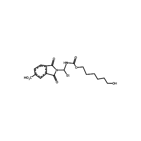 CCC(NC(=O)OCCCCCCO)N1C(=O)c2ccc(C(=O)O)cc2C1=O